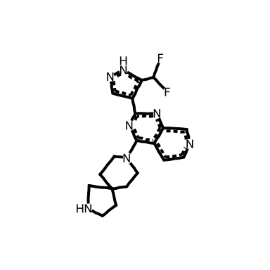 FC(F)c1[nH]ncc1-c1nc(N2CCC3(CCNC3)CC2)c2ccncc2n1